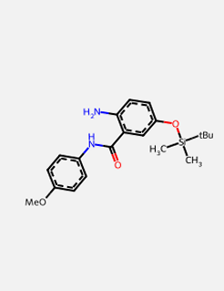 COc1ccc(NC(=O)c2cc(O[Si](C)(C)C(C)(C)C)ccc2N)cc1